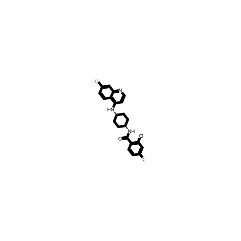 O=C(N[C@H]1CC[C@@H](Nc2ccnc3cc(Cl)ccc23)CC1)c1ccc(Cl)cc1Cl